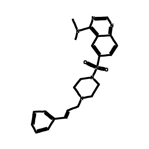 CN(C)c1ncnc2ccc(S(=O)(=O)N3CCN(CC=Cc4ccccc4)CC3)cc12